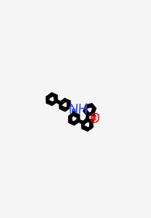 c1ccc(-c2ccc(Nc3cccc(-c4cccc5oc6ccccc6c45)c3)cc2)cc1